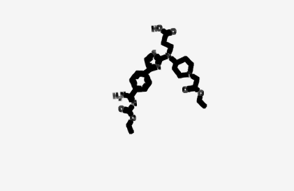 CCOC(=O)CN1CCC(N(CCC(=O)O)c2nc(-c3ccc(C(N)=NC(=O)OCC)cc3)cs2)CC1